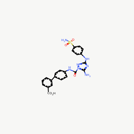 Nc1nc(Nc2ccc(S(N)(=O)=O)cc2)nn1C(=O)Nc1ccc(-c2cccc(C(=O)O)c2)cc1